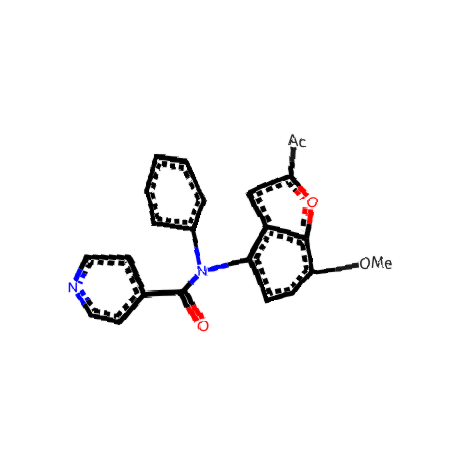 COc1ccc(N(C(=O)c2ccncc2)c2ccccc2)c2cc(C(C)=O)oc12